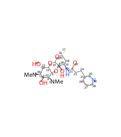 CN[C@@H]1[C@H](O)[C@H](NC)C2O[C@]3(O)C(OC2[C@H]1O)O[C@H](C)C[C@H]3NC(=O)CCc1cccnc1